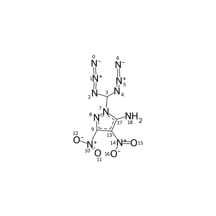 [N-]=[N+]=NC(N=[N+]=[N-])n1nc([N+](=O)[O-])c([N+](=O)[O-])c1N